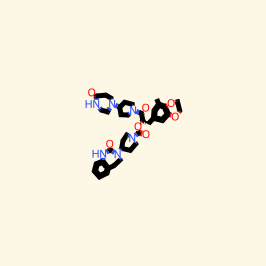 Cc1cc(C[C@@H](OC(=O)N2CCC(N3CCc4ccccc4NC3=O)CC2)C(=O)N2CCC(N3CCNC(=O)CC3)CC2)cc2c1OCCO2